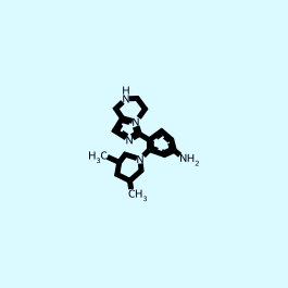 CC1CC(C)CN(c2cc(N)ccc2-c2ncc3n2CCNC3)C1